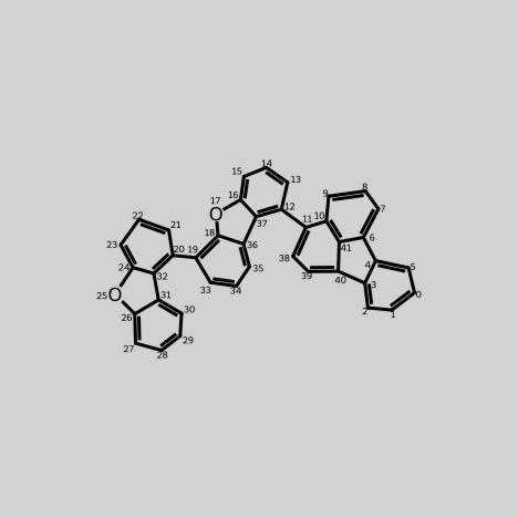 c1ccc2c(c1)-c1cccc3c(-c4cccc5oc6c(-c7cccc8oc9ccccc9c78)cccc6c45)ccc-2c13